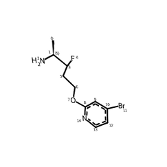 C[C@H](N)C(F)CCOc1cc(Br)ccn1